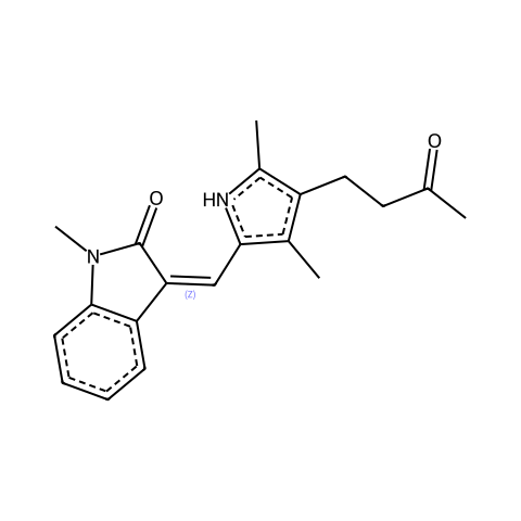 CC(=O)CCc1c(C)[nH]c(/C=C2\C(=O)N(C)c3ccccc32)c1C